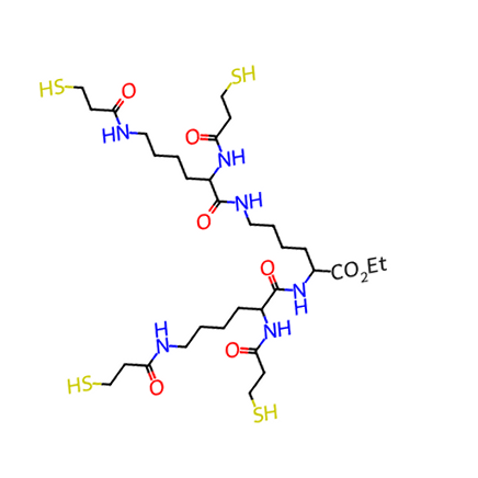 CCOC(=O)C(CCCCNC(=O)C(CCCCNC(=O)CCS)NC(=O)CCS)NC(=O)C(CCCCNC(=O)CCS)NC(=O)CCS